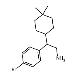 CC1(C)CCC(C(CN)c2ccc(Br)cc2)CC1